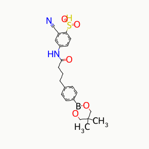 CC1(C)COB(c2ccc(CCCC(=O)Nc3ccc([SH](=O)=O)c(C#N)c3)cc2)OC1